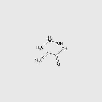 C=CC(=O)O.C[SiH2]O